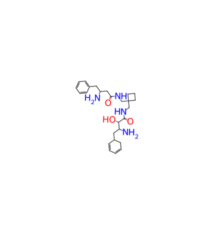 NC(CC(=O)NCC1(CNC(=O)C(O)C(N)CC2C=CC=CC2)CCC1)Cc1ccccc1